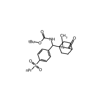 CCCS(=O)(=O)c1ccc(C(NC(=O)OC(C)(C)C)C23CCC(CC2)C(=O)N3C)cc1